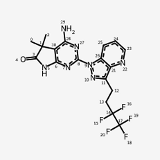 CC1(C)C(=O)Nc2nc(-n3nc(CCC(F)(F)C(F)(F)F)c4ncccc43)nc(N)c21